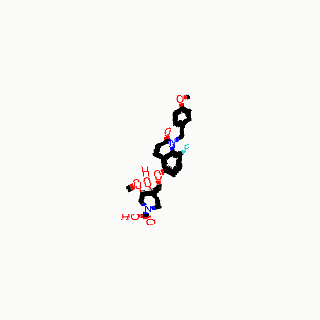 COc1ccc(CN2C(=O)CCc3c(OC[C@@]4(O)CCN(C(=O)O)C[C@@H]4OC)ccc(F)c32)cc1